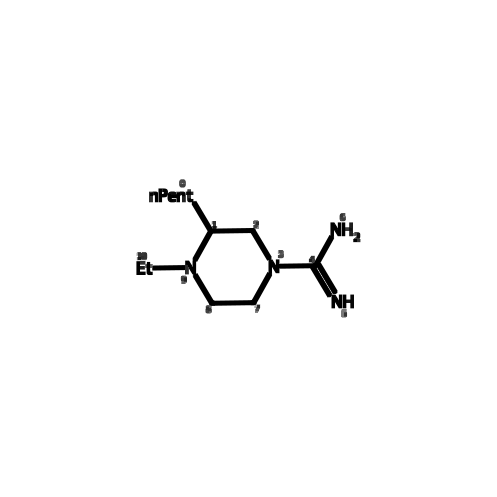 CCCCCC1CN(C(=N)N)CCN1CC